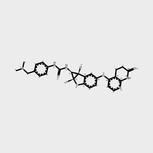 CN(C)Cc1ccc(NC(=O)N[C@@H]2[C@H]3Oc4ccc(Oc5ccnc6c5CCC(=O)N6)cc4[C@@H]23)cc1